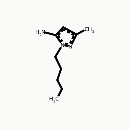 CCCCCn1nc(C)cc1N